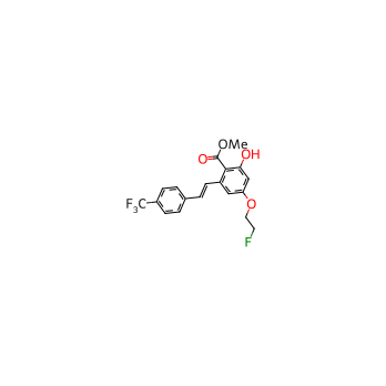 COC(=O)c1c(O)cc(OCCF)cc1C=Cc1ccc(C(F)(F)F)cc1